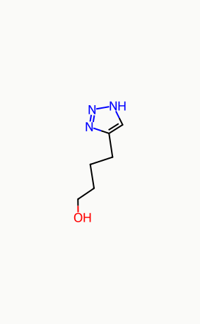 OCCCCc1c[nH]nn1